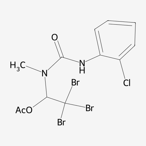 CC(=O)OC(N(C)C(=O)Nc1ccccc1Cl)C(Br)(Br)Br